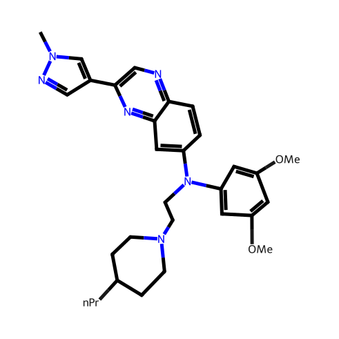 CCCC1CCN(CCN(c2cc(OC)cc(OC)c2)c2ccc3ncc(-c4cnn(C)c4)nc3c2)CC1